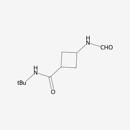 CC(C)(C)NC(=O)C1CC(NC=O)C1